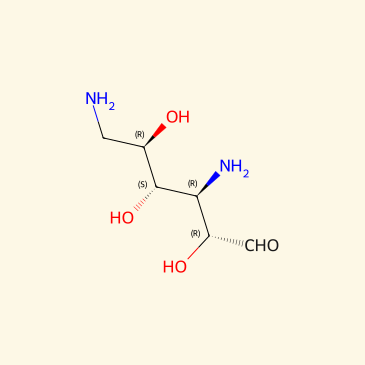 NC[C@@H](O)[C@@H](O)[C@@H](N)[C@@H](O)C=O